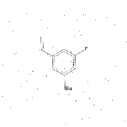 C=[C]c1cc(F)cc(C(C)(C)C)c1